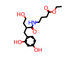 CCOC(=O)CCCNC(=O)C(CCO)Cc1ccc(O)cc1O